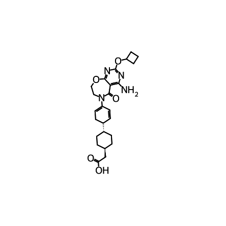 Nc1nc(OC2CCC2)nc2c1C(=O)N(C1=CCC([C@H]3CC[C@H](CC(=O)O)CC3)C=C1)CCO2